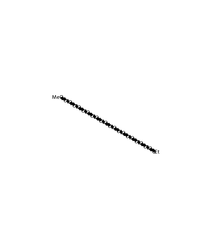 CCOCCOCCOCCOCCOCCOCCOCCOCCOCCOCCOCCOCCOCCOCCOCCOCCOCCOCCOCCOCCOCCOC